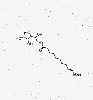 CCCCCCCCC=CCCCCCCCC(=O)OCC(O)C1OCC(O)C1O